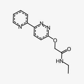 CCNC(=O)COc1ccc(-c2ccccn2)nn1